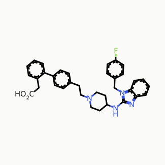 O=C(O)Cc1ccccc1-c1ccc(CCN2CCC(Nc3nc4ccccc4n3Cc3ccc(F)cc3)CC2)cc1